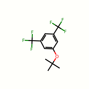 CC(C)(C)Oc1cc(C(F)(F)F)cc(C(F)(F)F)c1